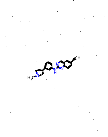 C#Cc1ccc2nc(Nc3cccc(C4CCN(C)CC4)c3)ncc2c1